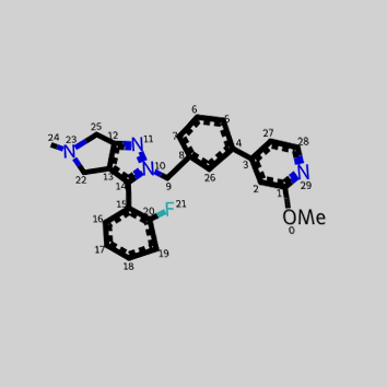 COc1cc(-c2cccc(Cn3nc4c(c3-c3ccccc3F)CN(C)C4)c2)ccn1